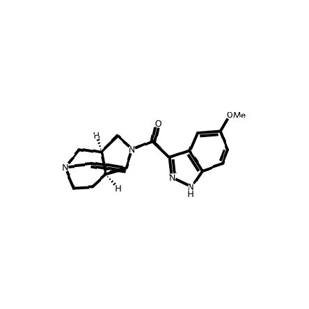 COc1ccc2[nH]nc(C(=O)N3C[C@@H]4CN5C=C3[C@H]4CC5)c2c1